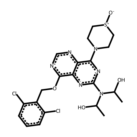 CC(O)N(c1nc(N2CC[S+]([O-])CC2)c2ncnc(OCc3c(Cl)cccc3Cl)c2n1)C(C)O